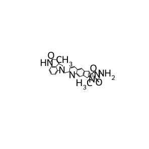 CN1C(=O)N(N)C(=O)[C@]12Cc1cc3ccc(CN4CC5(C)CC(=O)Nc6cccc4c65)nc3cc1C2